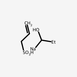 C=CCS(=O)(=O)O.CC[CH](O)[Na]